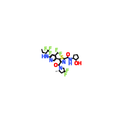 CC[C@H](Nc1cc(C(F)F)c(-c2sc(C(=O)NC3CCCC3O)nc2C(=O)N2CC(F)(F)C[C@@H]2C)cn1)C(F)(F)F